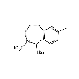 CC(C)(C)C1c2ccc(I)cc2CCCN1C(=O)O